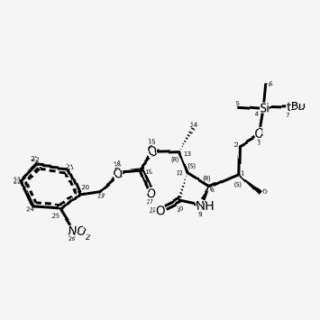 C[C@H](CO[Si](C)(C)C(C)(C)C)[C@H]1NC(=O)[C@@H]1[C@@H](C)OC(=O)OCc1ccccc1[N+](=O)[O-]